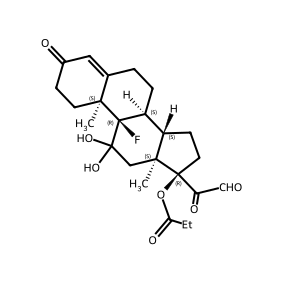 CCC(=O)O[C@]1(C(=O)C=O)CC[C@H]2[C@@H]3CCC4=CC(=O)CC[C@]4(C)[C@@]3(F)C(O)(O)C[C@@]21C